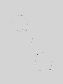 O=C1CCN(CCc2ccc(F)cc2)CC1